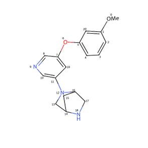 COc1cccc(Oc2cncc(N3CC4CC3CN4)c2)c1